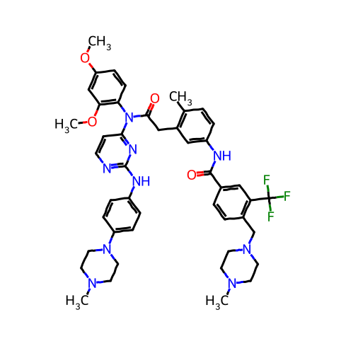 COc1ccc(N(C(=O)Cc2cc(NC(=O)c3ccc(CN4CCN(C)CC4)c(C(F)(F)F)c3)ccc2C)c2ccnc(Nc3ccc(N4CCN(C)CC4)cc3)n2)c(OC)c1